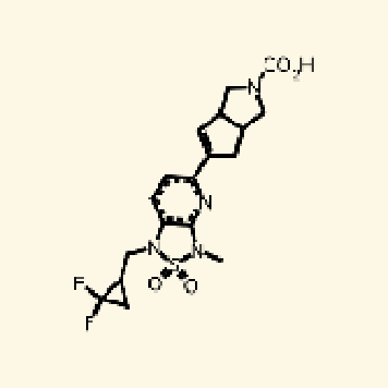 CN1c2nc(C3=CC4CN(C(=O)O)CC4C3)ccc2N(CC2CC2(F)F)S1(=O)=O